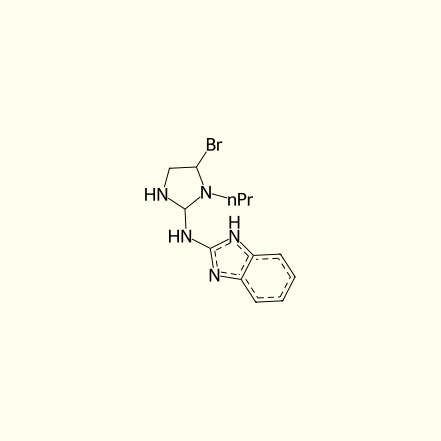 CCCN1C(Br)CNC1Nc1nc2ccccc2[nH]1